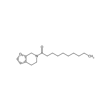 CCCCCCCCCC(=O)N1CCc2ccoc2C1